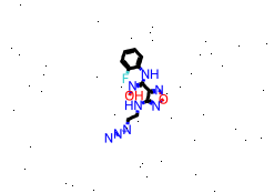 [N-]=[N+]=NCCNc1nonc1C(=NO)Nc1ccccc1F